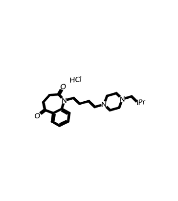 CC(C)CN1CCN(CCCCN2C(=O)CCC(=O)c3ccccc32)CC1.Cl